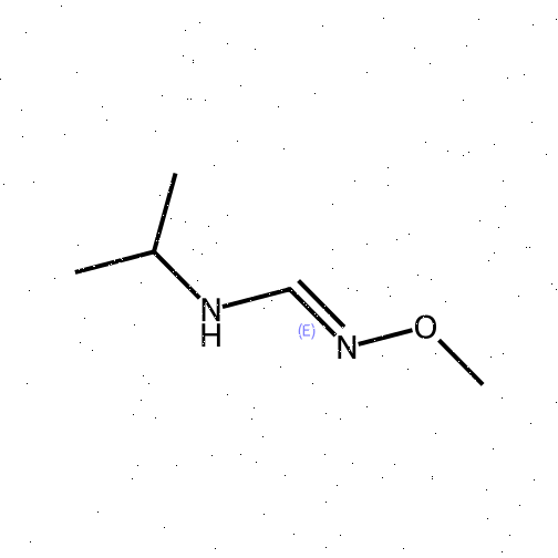 CO/N=C/NC(C)C